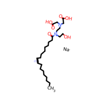 CCCCCCCC/C=C\CCCCCCCC(=O)N(CCO)CCN(CC(=O)O)CC(=O)O.[Na]